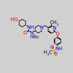 CCCCN(C(=O)N[C@H]1CC[C@@H](O)CC1)C1CCN(Cc2ccc(Oc3ccc(NS(C)(=O)=O)cc3)nc2C)CC1